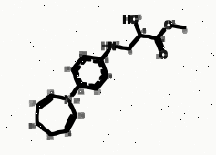 COC(=O)C(O)CNc1ccc(N2C=CCCC=C2)cc1